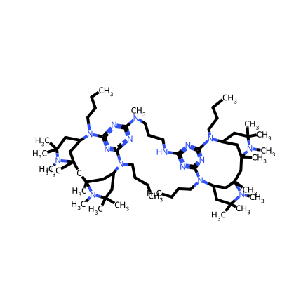 CCCCN1c2nc(NCCCN(C)c3nc4nc(n3)N(CCCC)C3CC(C)(C)N(C)C(C)(C3)CC3(C)CC(CC(C)(C)N3C)N4CCCC)nc(n2)N(CCCC)C2CC(C)(C)N(C)C(C)(C2)CC2(C)CC1CC(C)(C)N2C